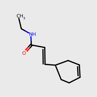 CCNC(=O)C=CC1CC=CCC1